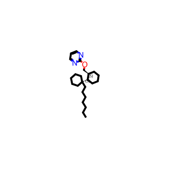 CCCCCCCC1([C@H]2CCCC[C@@H]2COc2ncccn2)CCCCC1